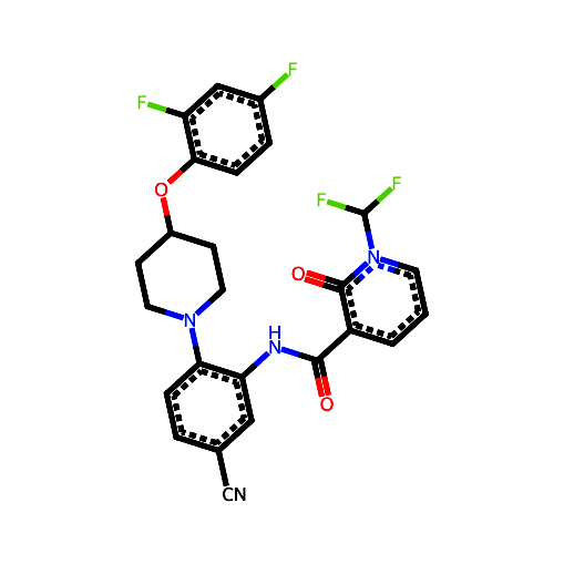 N#Cc1ccc(N2CCC(Oc3ccc(F)cc3F)CC2)c(NC(=O)c2cccn(C(F)F)c2=O)c1